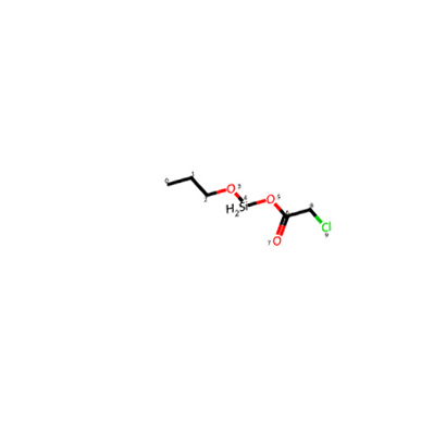 CCCO[SiH2]OC(=O)CCl